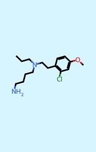 CCCN(CCCCN)CCc1ccc(OC)cc1Cl